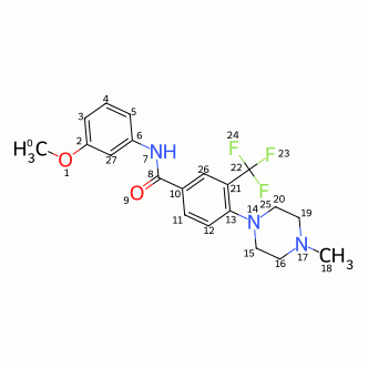 COc1cccc(NC(=O)c2ccc(N3CCN(C)CC3)c(C(F)(F)F)c2)c1